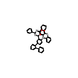 c1ccc(-c2nc(-c3ccccc3)nc(-c3cc(-c4ccccc4-c4ccccc4)ccc3N3c4ccccc4Sc4ccccc43)n2)cc1